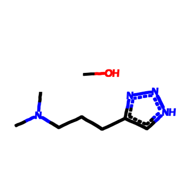 CN(C)CCCc1c[nH]nn1.CO